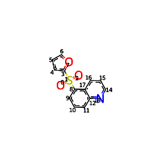 O=S(=O)(c1ccco1)c1cccc2ncccc12